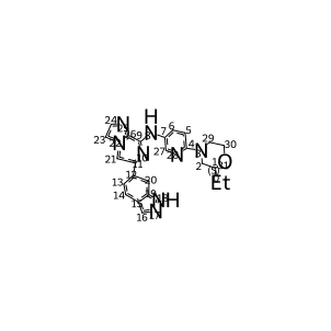 CC[C@H]1CN(c2ccc(Nc3nc(-c4ccc5cn[nH]c5c4)cn4ccnc34)cn2)CCO1